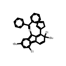 CCc1cc(C(C)(C)C)cc2c1=C1C=CC(CC)(C(C)(C)C)C(C3=CC=CC3)=C1[C]=2[Zr]=[C](c1ccccc1)c1ccccc1